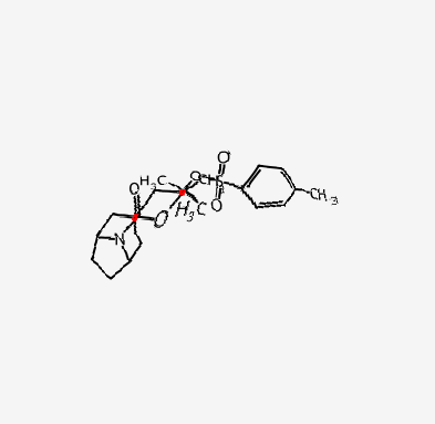 Cc1ccc(S(=O)(=O)OCCC2CC3CCC(C2)N3C(=O)OC(C)(C)C)cc1